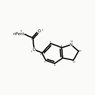 CCCCCC(=O)Oc1ccc2c(c1)[N]CC2